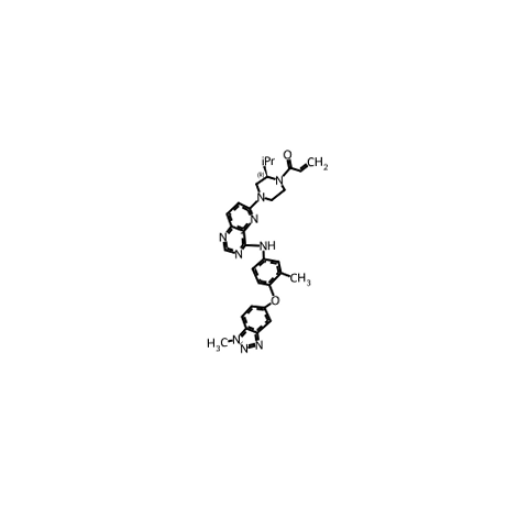 C=CC(=O)N1CCN(c2ccc3ncnc(Nc4ccc(Oc5ccc6c(c5)nnn6C)c(C)c4)c3n2)C[C@H]1C(C)C